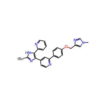 Cn1cnc(COc2ccc(-c3cc(-c4nc(C(C)(C)C)[nH]c4-c4ccccn4)ccn3)cc2)c1